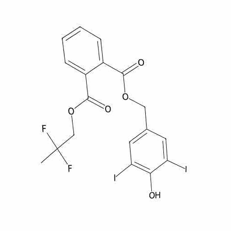 CC(F)(F)COC(=O)c1ccccc1C(=O)OCc1cc(I)c(O)c(I)c1